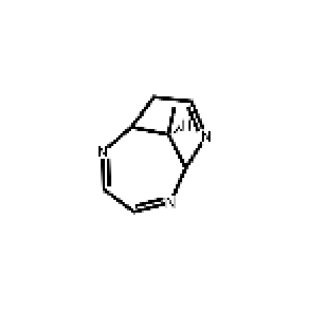 C[C@@H]1C2CC=NC1N=CC=N2